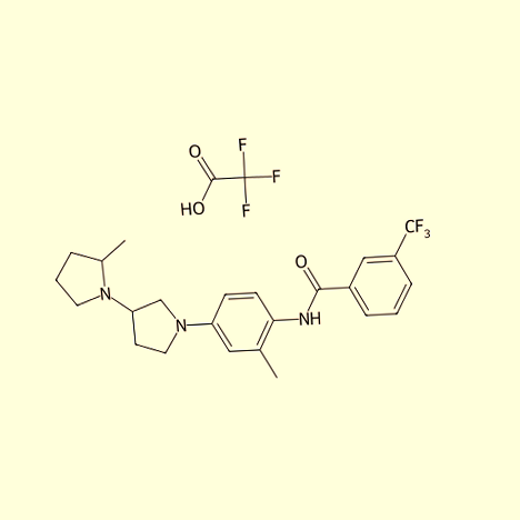 Cc1cc(N2CCC(N3CCCC3C)C2)ccc1NC(=O)c1cccc(C(F)(F)F)c1.O=C(O)C(F)(F)F